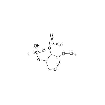 COC1COCC(OS(=O)(=O)O)C1O[SH](=O)=O